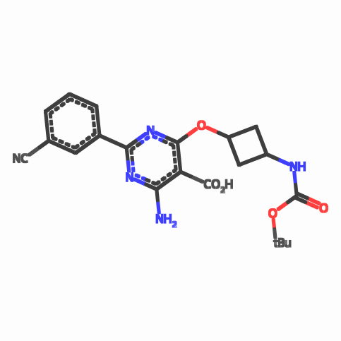 CC(C)(C)OC(=O)NC1CC(Oc2nc(-c3cccc(C#N)c3)nc(N)c2C(=O)O)C1